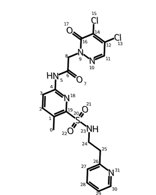 Cc1ccc(NC(=O)Cn2ncc(Cl)c(Cl)c2=O)nc1S(=O)(=O)NCCc1ccccn1